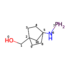 OCC12CCC(NP)(CC1)C2